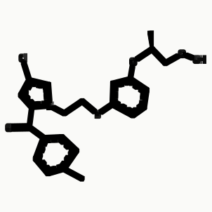 Cc1ccc(C(=O)c2cc(Cl)cn2CCSc2cccc(O[C@@H](C)COO)c2)cc1